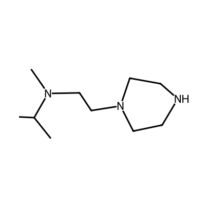 CC(C)N(C)CCN1CCNCC1